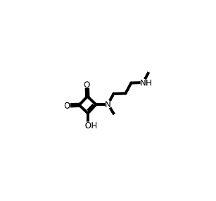 CNCCCN(C)c1c(O)c(=O)c1=O